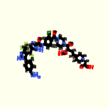 Nc1ccc(-c2[nH]nc(C(F)(F)F)c2Cc2cnc(C(=O)Nc3ccc(C(=O)N4CCN(C(=O)[C@@H](O)CCC5CCN(CC(=O)O)CC5)CC4)c(Cl)c3)[nH]2)c(F)c1